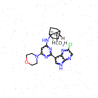 O=C(O)[C@H]1C2CCC(CC2)[C@@H]1Nc1cc(N2CCOCC2)nc(-c2c[nH]c3ncc(Cl)nc23)n1